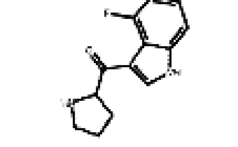 O=C(c1c[nH]c2cccc(F)c12)C1CCCN1